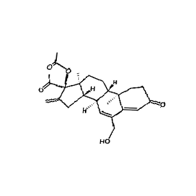 C=C1C[C@H]2[C@@H]3C=C(CO)C4=CC(=O)CC[C@]4(C)[C@H]3CC[C@]2(C)[C@@]1(OC(C)=O)C(C)=O